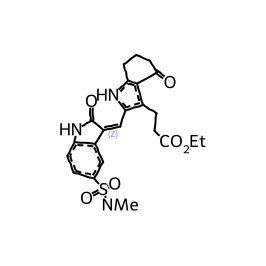 CCOC(=O)CCc1c(/C=C2\C(=O)Nc3ccc(S(=O)(=O)NC)cc32)[nH]c2c1C(=O)CCC2